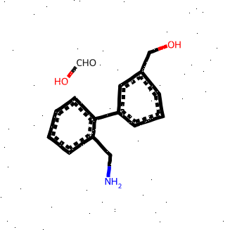 NCc1ccccc1-c1cccc(CO)c1.O=CO